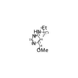 CCC(C)(C)Nc1cc(COC)ncn1